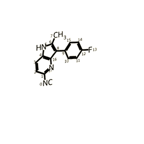 [C-]#[N+]c1ccc2[nH]c(C)c(-c3ccc(F)cc3)c2n1